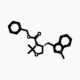 Cn1cc(C[C@@H]2COC(C)(C)N2C(=O)OCc2ccccc2)c2ccccc21